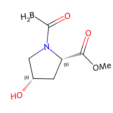 BC(=O)N1C[C@@H](O)C[C@H]1C(=O)OC